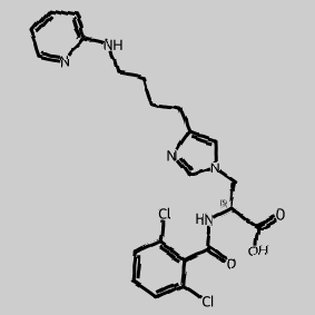 O=C(N[C@@H](Cn1cnc(CCCCNc2ccccn2)c1)C(=O)O)c1c(Cl)cccc1Cl